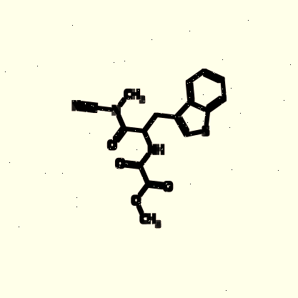 COC(=O)C(=O)NC(Cc1csc2ccccc12)C(=O)N(C)C#N